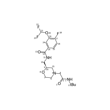 CC(C)(C)NC(=O)CN1CCO[C@@H](CNC(=O)c2ccc(F)c(OC(F)F)c2)C1